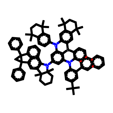 CC(C)(C)c1ccc(N2c3cc(-c4ccccc4)ccc3B3c4cc5c(cc4N(c4ccc6c(c4)C(C)(C)CCC6(C)C)c4cc(N6c7ccc(C8(c9ccccc9)CC8(c8ccccc8)c8ccccc8)cc7C7(C)CCCCC67C)cc2c43)C(C)(C)CCC5(C)C)c(-c2ccccc2)c1